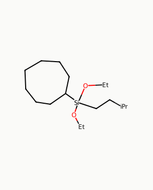 CCO[Si](CCC(C)C)(OCC)C1CCCCCCC1